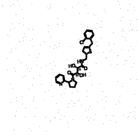 O=C(NCC1CC=C(Cc2ccccc2Cl)S1)[C@H](O)[C@@H](O)C(=O)N1CCCC1c1ccccn1